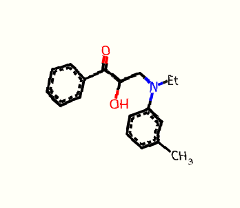 CCN(CC(O)C(=O)c1ccccc1)c1cccc(C)c1